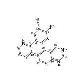 Fc1ccc(-c2ncccc2-c2ccc3ncncc3c2)cc1F